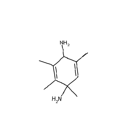 CC1=CC(C)(N)C(C)=C(C)C1N